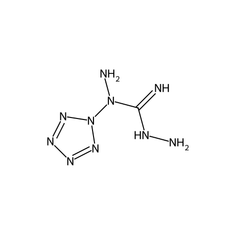 N=C(NN)N(N)n1nnnn1